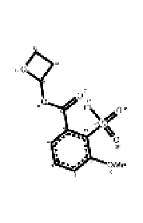 COc1cccc(C(=O)OC2CCO2)c1S(=O)(=O)Cl